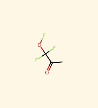 CC(=O)C(F)(F)OF